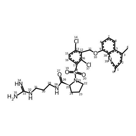 Cc1cc(C)c2cccc(OCc3c(Cl)ccc(S(=O)(=O)N4CCC[C@H]4C(=O)NCCCNC(=N)N)c3Cl)c2n1